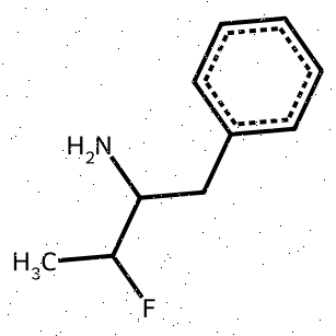 CC(F)C(N)Cc1ccccc1